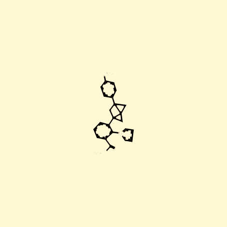 COC(=O)c1cccc(C23CC4(c5ccc(OC)cc5)CC42C3)c1-n1cccc1